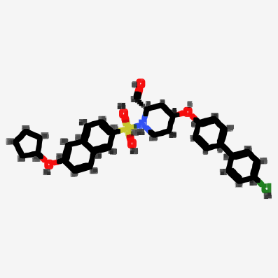 O=C[C@@H]1C[C@@H](Oc2ccc(-c3ccc(Cl)cc3)cc2)CCN1S(=O)(=O)c1ccc2cc(OC3CCCC3)ccc2c1